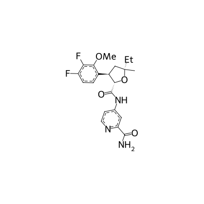 CC[C@@]1(C)C[C@H](c2ccc(F)c(F)c2OC)[C@@H](C(=O)Nc2ccnc(C(N)=O)c2)O1